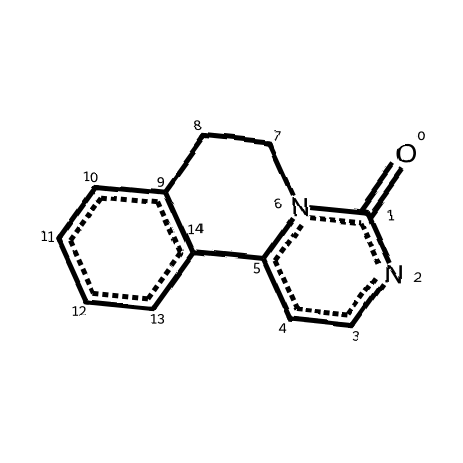 O=c1nccc2n1CCc1ccccc1-2